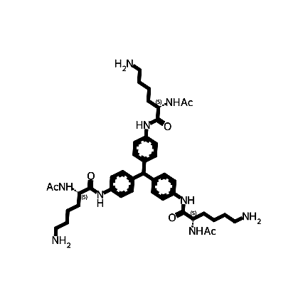 CC(=O)N[C@@H](CCCCN)C(=O)Nc1ccc(C(c2ccc(NC(=O)[C@H](CCCCN)NC(C)=O)cc2)c2ccc(NC(=O)[C@H](CCCCN)NC(C)=O)cc2)cc1